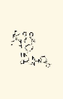 CO[C@H]1CCCN(c2ncc(Cl)c(Nc3ccc4c(c3)c3c(c(=O)n4C)OCC(F)(F)[C@H](C4CC4)N3)n2)C1